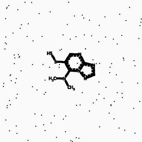 CN(C)c1c(SS)cnc2ncnn12